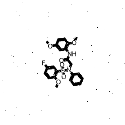 COc1ccc(OC)c(NC(=O)CN(c2ccccc2)S(=O)(=O)c2cc(F)ccc2OC)c1